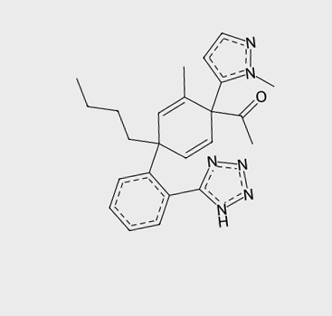 CCCCC1(c2ccccc2-c2nnn[nH]2)C=CC(C(C)=O)(c2ccnn2C)C(C)=C1